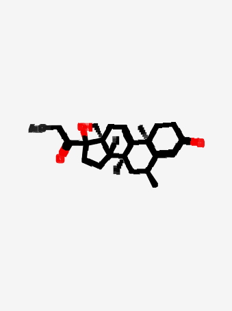 CC(=O)OCC(=O)[C@@]1(O)CC[C@H]2[C@@H]3C[C@H](C)C4=CC(=O)CC[C@]4(C)C3=CC[C@@]21C